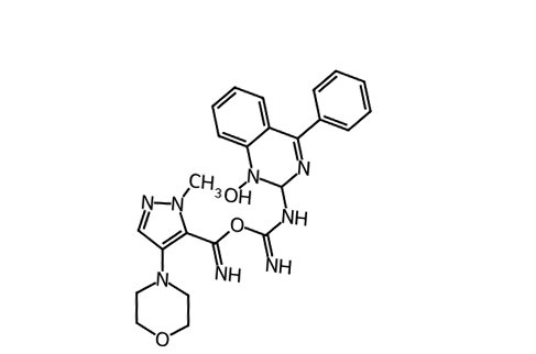 Cn1ncc(N2CCOCC2)c1C(=N)OC(=N)NC1N=C(c2ccccc2)c2ccccc2N1O